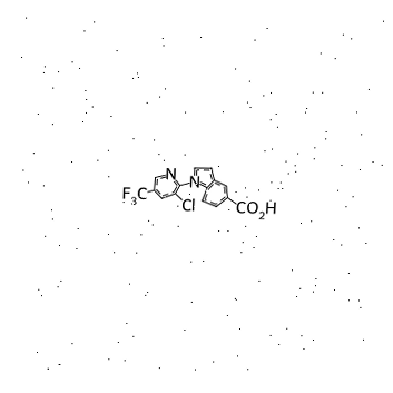 O=C(O)c1ccc2c(ccn2-c2ncc(C(F)(F)F)cc2Cl)c1